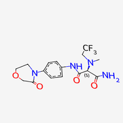 CN(CC(F)(F)F)[C@@H](C(N)=O)C(=O)Nc1ccc(N2CCOCC2=O)cc1